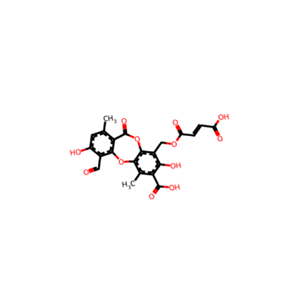 Cc1cc(O)c(C=O)c2c1C(=O)Oc1c(COC(=O)C=CC(=O)O)c(O)c(C(=O)O)c(C)c1O2